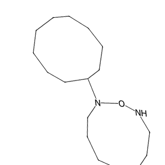 C1CCCCC(N2CCCCCCCNO2)CCCC1